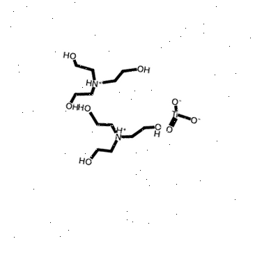 OCC[NH+](CCO)CCO.OCC[NH+](CCO)CCO.[O]=[Ti]([O-])[O-]